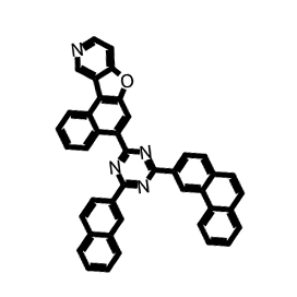 c1ccc2cc(-c3nc(-c4ccc5ccc6ccccc6c5c4)nc(-c4cc5oc6ccncc6c5c5ccccc45)n3)ccc2c1